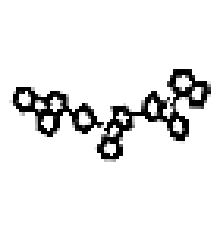 c1ccc2c(c1)-c1cccc3c(-c4ccc(-n5c6ccccc6c6cc(-c7ccc8c(c7)c7ccccc7n8-c7cccc8ccccc78)ccc65)cc4)ccc-2c13